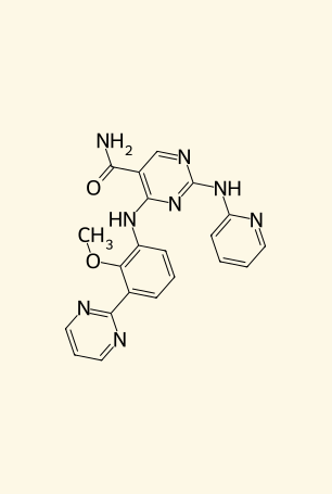 COc1c(Nc2nc(Nc3ccccn3)ncc2C(N)=O)cccc1-c1ncccn1